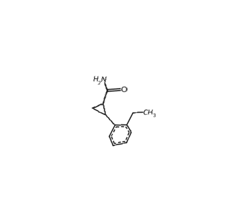 CCc1ccccc1C1CC1C(N)=O